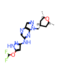 C[C@@H]1C[C@H](Cn2ncc3ncc(Nc4cc(OC(F)F)[nH]n4)nc32)C[C@H](C)O1